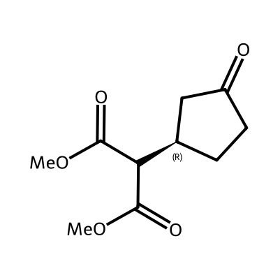 COC(=O)C(C(=O)OC)[C@@H]1CCC(=O)C1